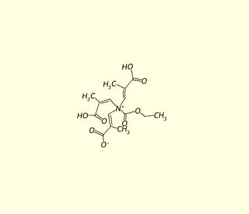 CCOC(=O)[N+](C=C(C)C(=O)[O-])(C=C(C)C(=O)O)C=C(C)C(=O)O